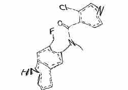 CN(C(=O)c1ccncc1Cl)c1cc2cc[nH]c2cc1F